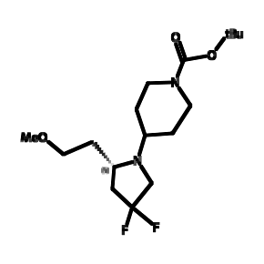 COCC[C@H]1CC(F)(F)CN1C1CCN(C(=O)OC(C)(C)C)CC1